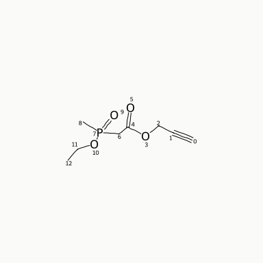 C#CCOC(=O)CP(C)(=O)OCC